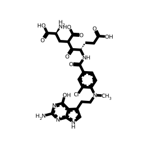 CN(CCc1c[nH]c2nc(N)nc(O)c12)c1ccc(C(=O)N[C@@H](CCC(=O)O)C(=O)C(C[C@H](N)C(=O)O)C(=O)O)cc1Cl